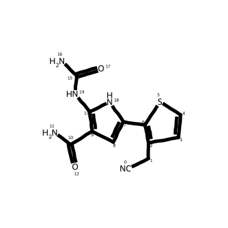 N#CCc1ccsc1-c1cc(C(N)=O)c(NC(N)=O)[nH]1